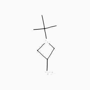 CNC1CN(C(C)(C)C)C1